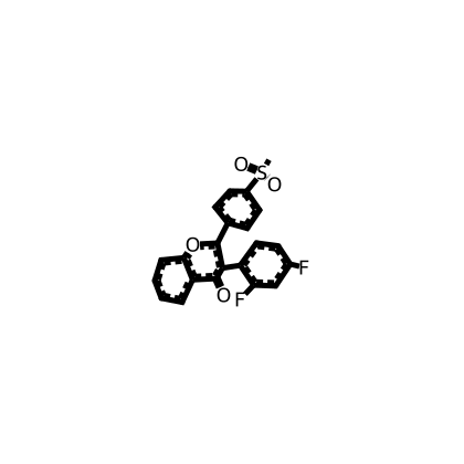 CS(=O)(=O)c1ccc(-c2oc3ccccc3c(=O)c2-c2ccc(F)cc2F)cc1